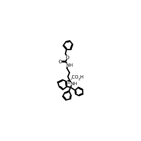 C[C@@](CCCNC(=O)OCc1ccccc1)(NC(c1ccccc1)(c1ccccc1)c1ccccc1)C(=O)O